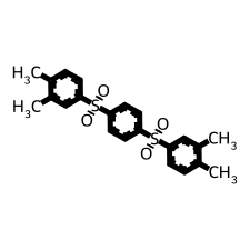 Cc1ccc(S(=O)(=O)c2ccc(S(=O)(=O)c3ccc(C)c(C)c3)cc2)cc1C